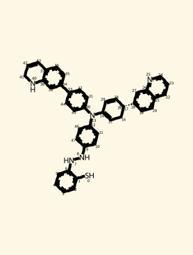 Sc1ccccc1NNc1ccc(N(C2=CC[C@@H](c3ccc4cccnc4c3)C=C2)c2ccc(-c3ccc4c(c3)NCC=C4)cc2)cc1